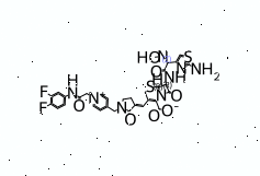 Nc1nc(/C(=N/O)C(=O)N[C@@H]2C(=O)N3C(C(=O)[O-])=C(C=C4CCN(Cc5cc[n+](CC(=O)Nc6ccc(F)c(F)c6)cc5)C4=O)CS[C@H]23)cs1